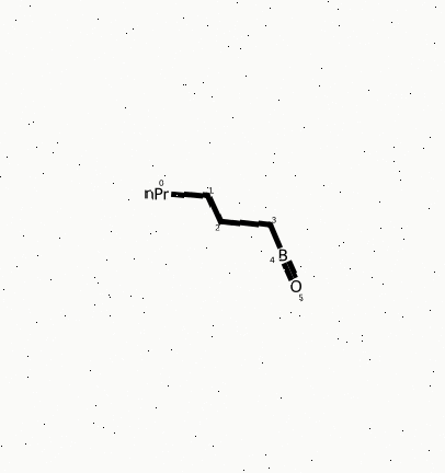 CCCCCCB=O